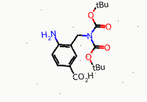 CC(C)(C)OC(=O)N(Cc1cc(C(=O)O)ccc1N)C(=O)OC(C)(C)C